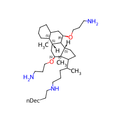 CCCCCCCCCCCCNCCCC(C)C1CC[C@H]2C3[C@H](OCCCN)CC4CCCC[C@]4(C)[C@H]3C[C@H](OCCCN)[C@]12C